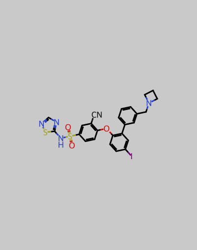 N#Cc1cc(S(=O)(=O)Nc2ncns2)ccc1Oc1ccc(I)cc1-c1cccc(CN2CCC2)c1